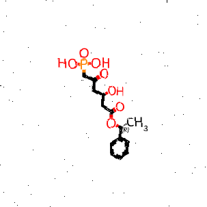 C[C@@H](OC(=O)CC(O)CC(=O)CP(=O)(O)O)c1ccccc1